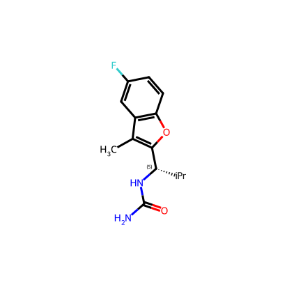 Cc1c([C@@H](NC(N)=O)C(C)C)oc2ccc(F)cc12